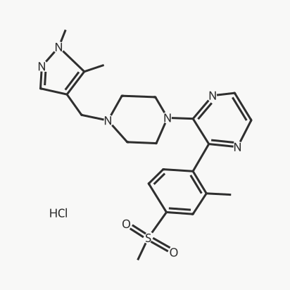 Cc1cc(S(C)(=O)=O)ccc1-c1nccnc1N1CCN(Cc2cnn(C)c2C)CC1.Cl